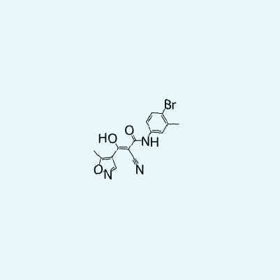 Cc1cc(NC(=O)/C(C#N)=C(\O)c2cnoc2C)ccc1Br